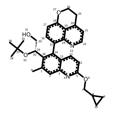 Cc1cc2nc(OCC3CC3)ccc2c(-c2ccc3c4c(ccnc24)CCO3)c1[C@@H](CO)OC(C)(C)C